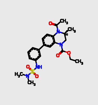 CCOC(=O)N1C[C@H](C)N(C(C)=O)c2ccc(-c3cccc(NS(=O)(=O)N(C)C)c3)cc21